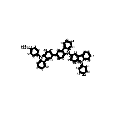 CC(C)(C)c1ccc(-n2c3ccccc3c3cc(-c4ccc5c(c4)c4ccccc4n5-c4ccc5c(c4)c4ccccc4n5-c4ccccc4)ccc32)cc1